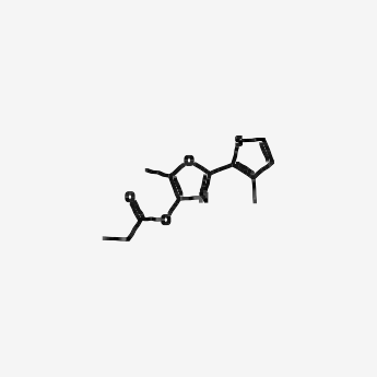 CCC(=O)Oc1nc(-c2sccc2C)oc1C